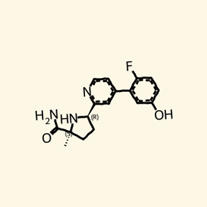 C[C@@]1(C(N)=O)CC[C@H](c2cc(-c3cc(O)ccc3F)ccn2)N1